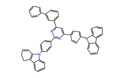 C1=Cc2c(c3ccccc3n2-c2ccc(-c3nc(-c4ccc(-n5c6ccccc6c6ccccc65)cc4)cc(-c4cccc(-c5ccccc5)c4)n3)cc2)CC1